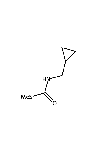 CSC(=O)NCC1CC1